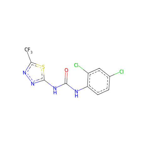 O=C(Nc1nnc(C(F)(F)F)s1)Nc1ccc(Cl)cc1Cl